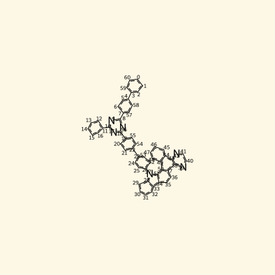 c1ccc(-c2ccc(-c3nc(-c4ccccc4)nc(-c4ccc(-c5ccc(-n6c7ccccc7c7ccc8c9nccnc9c9ccccc9c8c76)cc5)cc4)n3)cc2)cc1